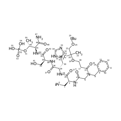 CC(C)C[C@H](NC(=O)CN(Cc1ccccc1)C(=O)CCOC(C)(C)COC(C)(C)C)C(=O)N[C@@H](Cc1cnc[nH]1)C(=O)N[C@@H](CO)C(=O)N[C@H](C(N)=O)[C@@H](C)OP(=O)(O)O